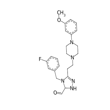 COc1cccc(N2CCN(CCC3=NNC(C=O)N3Cc3cccc(F)c3)CC2)c1